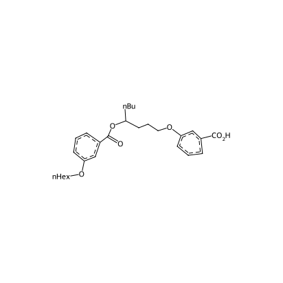 CCCCCCOc1cccc(C(=O)OC(CCCC)CCCOc2cccc(C(=O)O)c2)c1